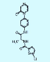 C[C@@H](NC(=O)c1ccc(Cl)s1)C(=O)Nc1ccc(-n2ccncc2=O)cc1